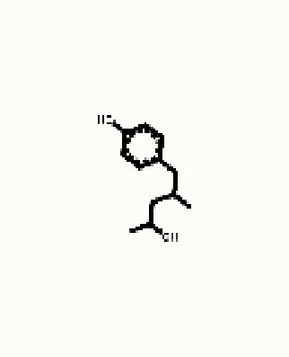 CC(O)CC(C)Cc1ccc(O)cc1